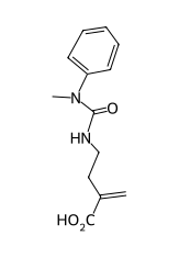 C=C(CCNC(=O)N(C)c1ccccc1)C(=O)O